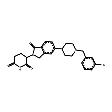 N#Cc1cccc(CN2CCC(c3ccc4c(c3)CN(C3CCC(=O)NC3=O)C4=O)CC2)c1